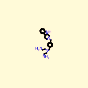 NCCN(CCN)Cc1ccc(CN2CCc3c([nH]c4ccccc34)C2)cc1